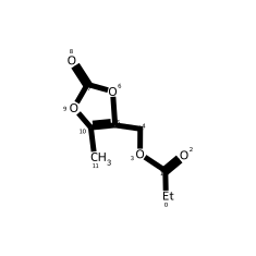 CCC(=O)OCc1oc(=O)oc1C